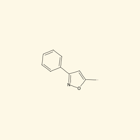 [CH2]c1cc(-c2ccccc2)no1